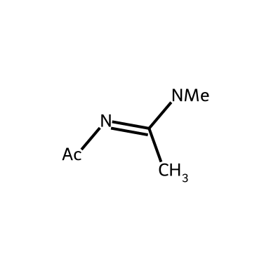 CN/C(C)=N/C(C)=O